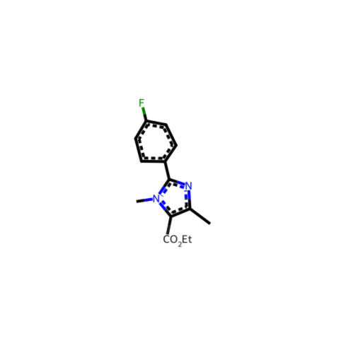 CCOC(=O)c1c(C)nc(-c2ccc(F)cc2)n1C